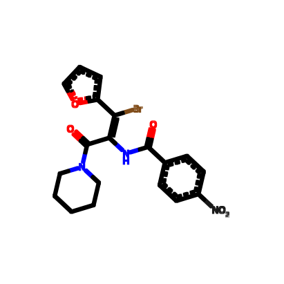 O=C(NC(C(=O)N1CCCCC1)=C(Br)c1ccco1)c1ccc([N+](=O)[O-])cc1